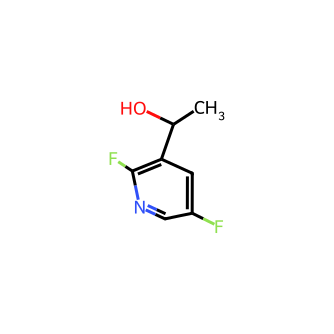 CC(O)c1cc(F)cnc1F